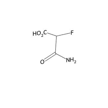 NC(=O)C(F)C(=O)O